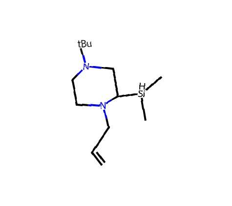 C=CCN1CCN(C(C)(C)C)CC1[SiH](C)C